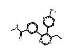 CCc1ncnc(-c2cccc(C(=O)NC)c2)c1-c1ccc(N)nc1